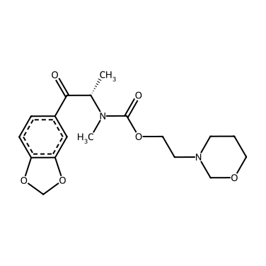 C[C@@H](C(=O)c1ccc2c(c1)OCO2)N(C)C(=O)OCCN1CCCOC1